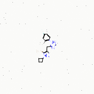 CC(=O)c1cc(F)ccc1-n1ncnc1Cc1cnn(C2CCC2)c1Br